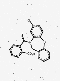 O=C(O)c1ncccc1C(=O)N1Cc2ccccc2Oc2ccc(Cl)cc21